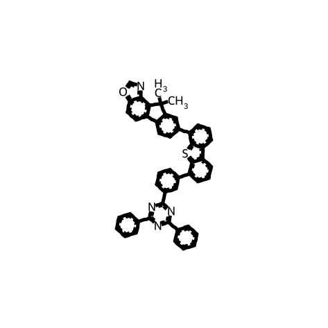 CC1(C)c2cc(-c3cccc4c3sc3c(-c5cccc(-c6nc(-c7ccccc7)nc(-c7ccccc7)n6)c5)cccc34)ccc2-c2ccc3ocnc3c21